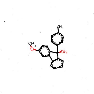 COc1ccc2c(c1)-c1ccccc1C2(O)c1ccc(C)cc1